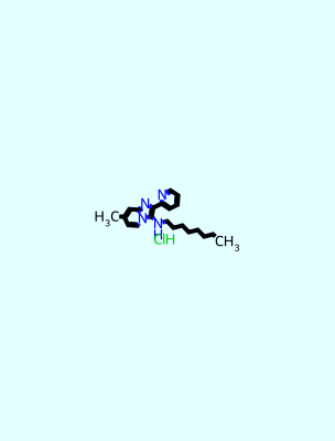 CCCCCCCCNc1c(-c2ccccn2)nc2cc(C)ccn12.Cl